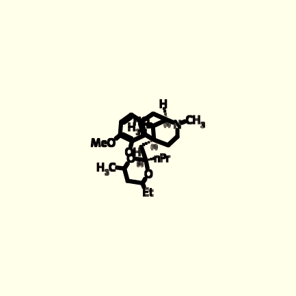 CCC[C@@]1(C[C@]23CCN(C)[C@H](Cc4ccc(OC)c(O)c42)C3(C)O)OC(C)CC(CC)O1